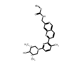 Cc1ccc(N2C[C@@H](C)C(O)[C@@H](C)C2)nc1-c1ccc2cnc(CNC(=O)OC(C)(C)C)cc2n1